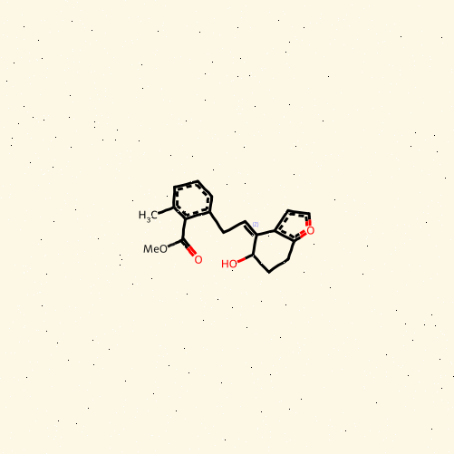 COC(=O)c1c(C)cccc1C/C=C1/c2ccoc2CCC1O